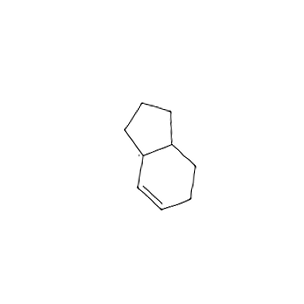 C1=C[C]2CCCC2CC1